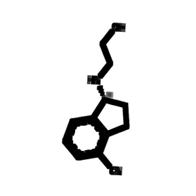 N#Cc1cccc2c1CC[C@H]2NCCO